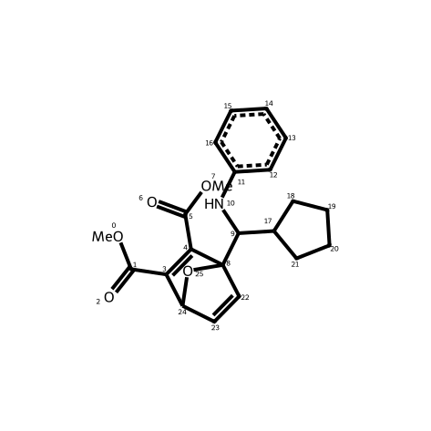 COC(=O)C1=C(C(=O)OC)C2(C(Nc3ccccc3)C3CCCC3)C=CC1O2